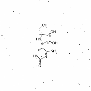 Nc1nc(=O)[nH]cc1[C@@H]1N[C@H](CO)[C@@H](O)[C@H]1O